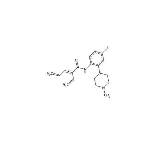 C=C/C=C(\C=C)C(=O)Nc1ccc(F)cc1N1CCN(C)CC1